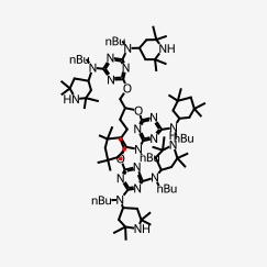 CCCCN(c1nc(OCCCCC(COc2nc(N(CCCC)C3CC(C)(C)NC(C)(C)C3)nc(N(CCCC)C3CC(C)(C)NC(C)(C)C3)n2)Oc2nc(N(CCCC)C3CC(C)(C)CC(C)(C)C3)nc(N(CCCC)C3CC(C)(C)CC(C)(C)C3)n2)nc(N(CCCC)C2CC(C)(C)NC(C)(C)C2)n1)C1CC(C)(C)NC(C)(C)C1